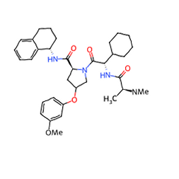 CN[C@@H](C)C(=O)N[C@H](C(=O)N1CC(Oc2cccc(OC)c2)C[C@H]1C(=O)N[C@H]1CCCc2ccccc21)C1CCCCC1